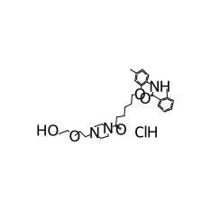 Cc1ccc(NC(=O)c2ccccc2C)c(OCCCCCC(=O)N2CCN(CCOCCO)CC2)c1.Cl